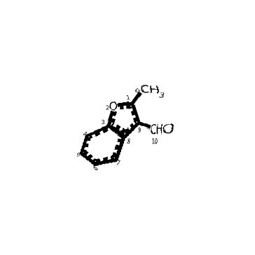 Cc1oc2ccccc2c1C=O